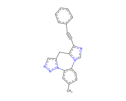 Cc1ccc2c(c1)-n1nncc1Cc1c(C#Cc3ccccc3)ncn1-2